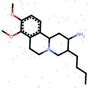 CCCCC1CN2CCc3c(ccc(OC)c3OC)C2CC1N